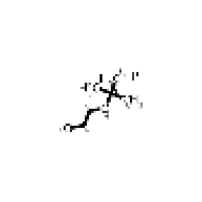 CC(C)(C)OCC[O-].[Li+]